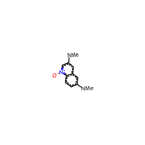 CNc1ccc2c(c1)cc(NC)c[n+]2[O-]